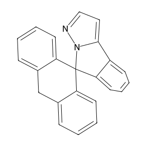 c1ccc2c(c1)Cc1ccccc1C21c2ccccc2-c2ccnn21